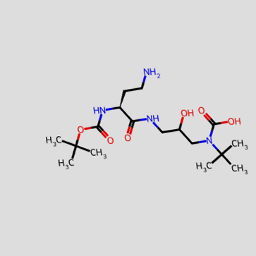 CC(C)(C)OC(=O)N[C@@H](CCN)C(=O)NCC(O)CN(C(=O)O)C(C)(C)C